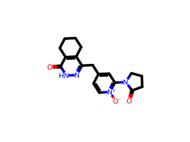 O=C1CCCN1c1cc(Cc2n[nH]c(=O)c3c2CCCC3)cc[n+]1[O-]